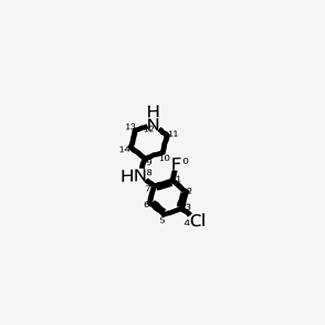 Fc1cc(Cl)ccc1NC1CCNCC1